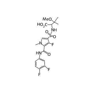 COC(C)(C)C(NS(=O)(=O)c1cn(C)c(C(=O)Nc2ccc(F)c(F)c2)c1F)C(=O)O